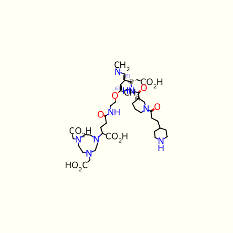 C=N/C=C(\C=C(/C)OCCNC(=O)CCC(C(=O)O)N1CCN(CC(=O)O)CCN(CC(=O)O)CC1)[C@H](CC(=O)O)NC(=O)[C@@H]1CCCN(C(=O)CCC2CCNCC2)C1